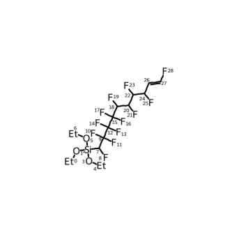 CCO[Si](OCC)(OCC)C(F)C(F)(F)C(F)(F)C(F)(F)C(F)C(F)C(F)C(F)C=CF